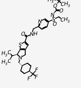 CCS(=O)(=NC(=O)OC(C)(C)C)c1ccc(CNC(=O)c2cc3c(s2)[C@H](C(C)C)N(C[C@H]2CC[C@H](C(F)(F)F)CC2)C3)nc1